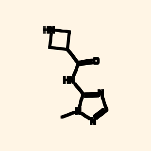 Cn1ncnc1NC(=O)C1CNC1